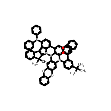 CC(C)(C)c1ccc(N2c3cc4c(cc3B3c5c(cc6c(oc7ccccc76)c52)-c2ccc(N(c5ccccc5)c5ccccc5)c5c6c(n3c25)C(C)(C)c2ccccc2-6)Oc2ccccc2O4)c(-c2ccccc2)c1